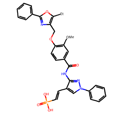 CCc1oc(-c2ccccc2)nc1COc1ccc(C(=O)Nc2nn(-c3ccccc3)cc2/C=C/P(=O)(O)O)cc1OC